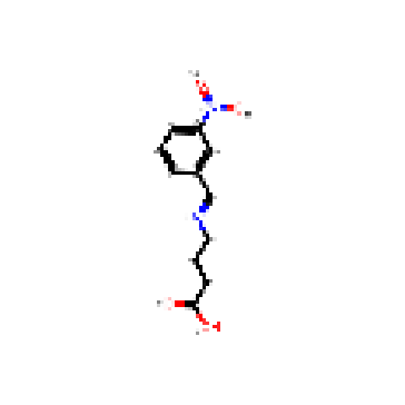 O=C(O)CCCN=Cc1cccc([N+](=O)[O-])c1